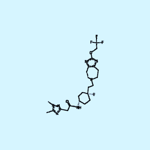 Cc1nc(CC(=O)N[C@H]2CC[C@](F)(CCN3CCc4nc(OCC(F)(F)F)sc4CC3)CC2)nn1C